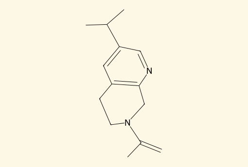 C=C(C)N1CCc2cc(C(C)C)cnc2C1